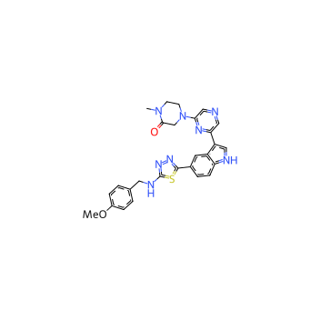 COc1ccc(CNc2nnc(-c3ccc4[nH]cc(-c5cncc(N6CCN(C)C(=O)C6)n5)c4c3)s2)cc1